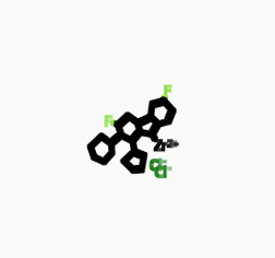 Fc1ccc2c(c1)=c1cc(F)c(=C3CCCCC3)c(C3=CC=CC3)c1[C]=2[Zr+2].[Cl-].[Cl-]